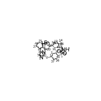 Cc1ccc(CS(=O)(=O)NC2C3CC4CC2CC(C(O)CC2c5c(F)cccc5-c5cncn52)(C4)C3)cc1